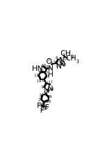 CC(C)n1cc(C(=O)Nc2c[nH]c3ccc(-c4cnn(-c5ccc(C(F)(F)F)cc5)c4)cc23)nn1